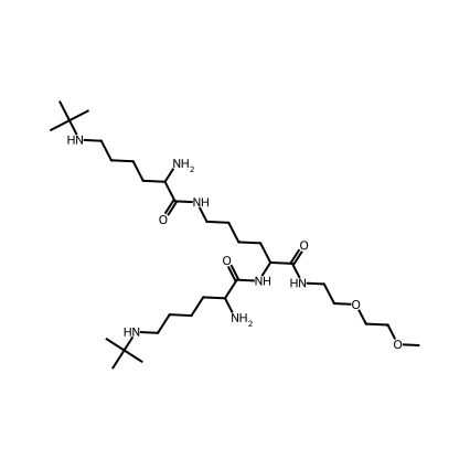 COCCOCCNC(=O)C(CCCCNC(=O)C(N)CCCCNC(C)(C)C)NC(=O)C(N)CCCCNC(C)(C)C